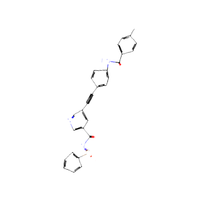 Cc1ccc(C(=O)Nc2ccc(C#Cc3cncc(C(=O)N=[S@@](C)(=O)c4ccccc4)c3)cc2)cc1